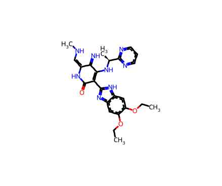 CCOc1cc2nc(C3=C(N[C@@H](C)c4ncccn4)C(=N)/C(=C\NC)NC3=O)[nH]c2cc1OCC